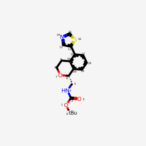 CC(C)(C)OC(=O)NC[C@@H]1OCCc2c(-c3cncs3)cccc21